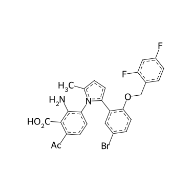 CC(=O)c1ccc(-n2c(C)ccc2-c2cc(Br)ccc2OCc2ccc(F)cc2F)c(N)c1C(=O)O